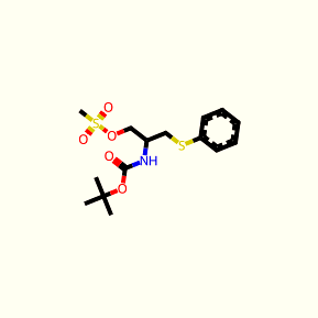 CC(C)(C)OC(=O)NC(COS(C)(=O)=O)CSc1ccccc1